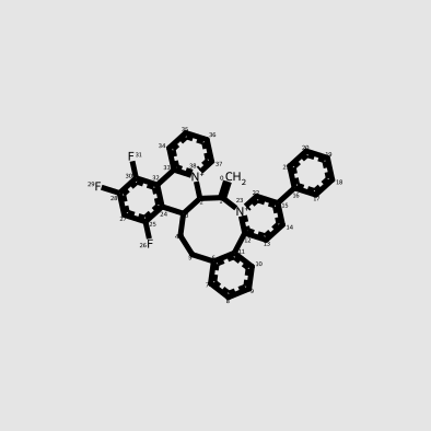 C=C1C2C(CCc3ccccc3-c3ccc(-c4ccccc4)c[n+]31)c1c(F)cc(F)c(F)c1-c1cccc[n+]12